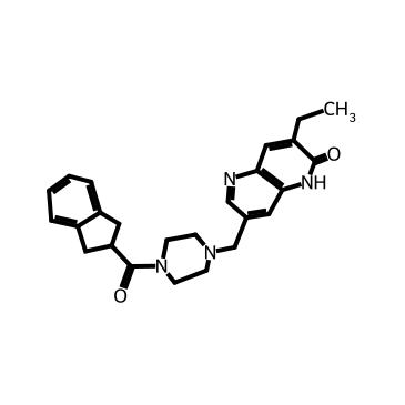 CCc1cc2ncc(CN3CCN(C(=O)C4Cc5ccccc5C4)CC3)cc2[nH]c1=O